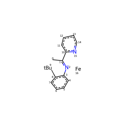 CC(=Nc1ccccc1C(C)(C)C)c1ccccn1.[Fe]